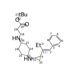 CC/C(=C\c1ccccc1)C1CC1N[C@H]1CC[C@H](NCCC(=O)OC(C)(C)C)CC1